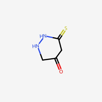 O=C1CNNC(=S)C1